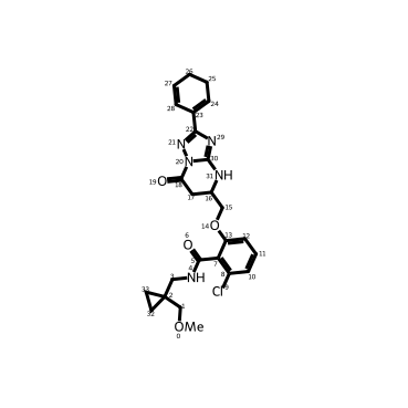 COCC1(CNC(=O)c2c(Cl)cccc2OCC2CC(=O)n3nc(C4=CCCC=C4)nc3N2)CC1